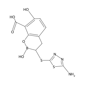 Nc1nnc(SC2Cc3ccc(O)c(C(=O)O)c3OB2O)s1